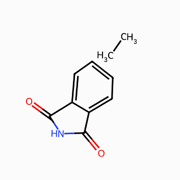 CC.O=C1NC(=O)c2ccccc21